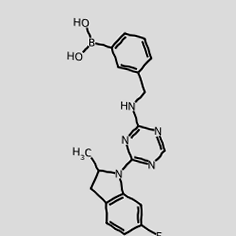 CC1Cc2ccc(F)cc2N1c1ncnc(NCc2cccc(B(O)O)c2)n1